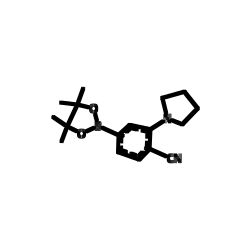 CC1(C)OB(c2ccc(C#N)c(N3CCCC3)c2)OC1(C)C